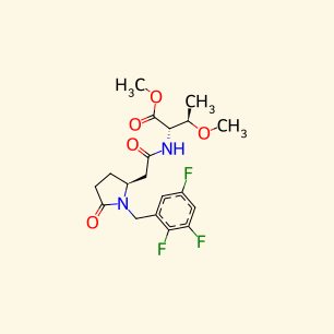 COC(=O)[C@@H](NC(=O)C[C@@H]1CCC(=O)N1Cc1cc(F)cc(F)c1F)[C@@H](C)OC